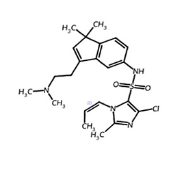 C/C=C\n1c(C)nc(Cl)c1S(=O)(=O)Nc1ccc2c(c1)C(CCN(C)C)=CC2(C)C